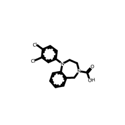 O=C(O)N1CCN(c2ccc(Cl)c(Cl)c2)c2ccccc2C1